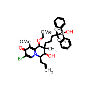 C=CCC1C(O)C(C)(CCCC(C)(C)[Si](O)(c2ccccc2)c2ccccc2)C(OCOC)c2c(OC)c(=O)c(Br)cn21